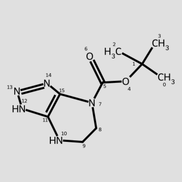 CC(C)(C)OC(=O)N1CCNc2[nH]nnc21